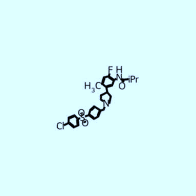 Cc1cc(F)c(NC(=O)C(C)C)cc1C1CCN(Cc2ccc(S(=O)(=O)c3ccc(Cl)cc3)cc2)CC1